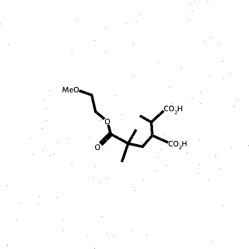 COCCOC(=O)C(C)(C)CC(C(=O)O)C(C)C(=O)O